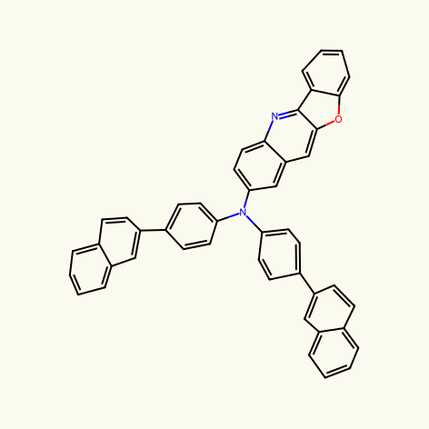 c1ccc2cc(-c3ccc(N(c4ccc(-c5ccc6ccccc6c5)cc4)c4ccc5nc6c(cc5c4)oc4ccccc46)cc3)ccc2c1